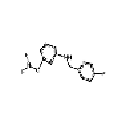 Fc1ccc(CNc2cccc(ON(F)F)c2)nc1